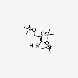 C[Si](C)(C)OCC(O[Si](C)(C)C)=C([SiH3])O[Si](C)(C)C